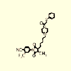 CC1=C(CCCCCN2CCN(C(=O)CSc3ccccc3)CC2)C(=O)N(c2ccc(C#N)c(C(F)(F)F)c2)C1=O